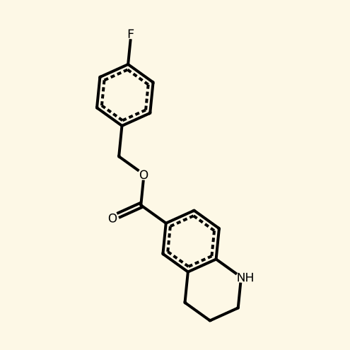 O=C(OCc1ccc(F)cc1)c1ccc2c(c1)CCCN2